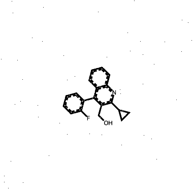 OCc1c(C2CC2)nc2ccccc2c1-c1ccccc1F